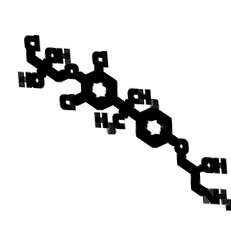 CC(C)(c1ccc(OC[C@H](O)CN)cc1)c1cc(Cl)c(OCC(O)(O)CCl)c(Cl)c1